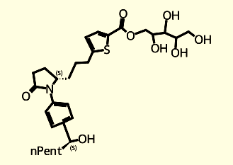 CCCCC[C@H](O)c1ccc(N2C(=O)CC[C@@H]2CCCc2ccc(C(=O)OCC(O)C(O)C(O)CO)s2)cc1